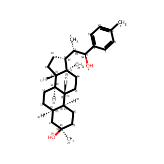 Cc1ccc([C@@H](O)[C@@H](C)[C@H]2CC[C@H]3[C@@H]4CC[C@@H]5C[C@@](O)(C(F)(F)F)CC[C@@H]5[C@H]4CC[C@]23C)cc1